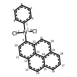 Cl[N+](Cl)(c1ccccc1)c1ccc2ccc3cccc4ccc1c2c34